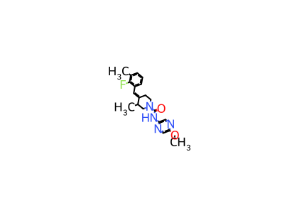 COc1cnc(NC(=O)N2CCC(=Cc3cccc(C)c3F)C(C)C2)cn1